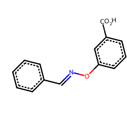 O=C(O)c1cccc(ON=Cc2ccccc2)c1